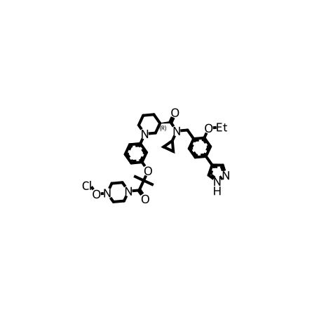 CCOc1cc(-c2cn[nH]c2)ccc1CN(C(=O)[C@@H]1CCCN(c2cccc(OC(C)(C)C(=O)N3CCN(OCl)CC3)c2)C1)C1CC1